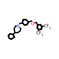 FC(F)(F)c1cc(COCc2ccc(CN3CCCC(c4ccccc4)CC3)cc2)cc(C(F)(F)F)c1